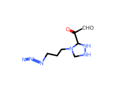 [N-]=[N+]=NCCCN1CNNC1C(=O)C=O